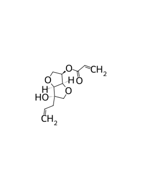 C=CC[C@]1(O)CO[C@@H]2[C@H](OC(=O)C=C)CO[C@@H]21